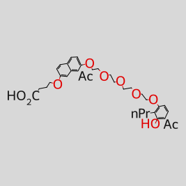 CCCc1c(OCCOCCOCCOCCOc2ccc3ccc(OCCCC(=O)O)cc3c2C(C)=O)ccc(C(C)=O)c1O